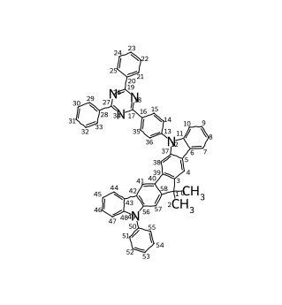 CC1(C)c2cc3c4ccccc4n(-c4ccc(-c5nc(-c6ccccc6)nc(-c6ccccc6)n5)cc4)c3cc2-c2cc3c4ccccc4n(-c4ccccc4)c3cc21